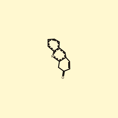 O=C1C=Cc2cc3ccccc3nc2C1